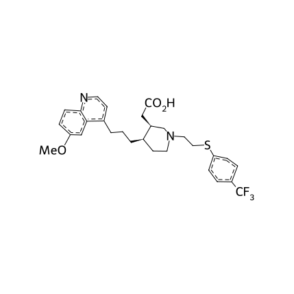 COc1ccc2nccc(CCC[C@@H]3CCN(CCSc4ccc(C(F)(F)F)cc4)C[C@@H]3CC(=O)O)c2c1